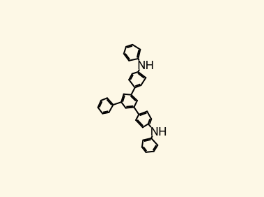 c1ccc(Nc2ccc(-c3cc(-c4ccccc4)cc(-c4ccc(Nc5ccccc5)cc4)c3)cc2)cc1